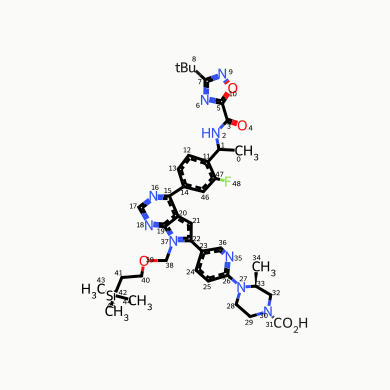 CC(NC(=O)c1nc(C(C)(C)C)no1)c1ccc(-c2ncnc3c2cc(-c2ccc(N4CCN(C(=O)O)C[C@@H]4C)nc2)n3COCC[Si](C)(C)C)cc1F